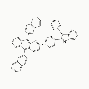 C/C=C\c1cc(-c2c3ccccc3c(-c3ccc4ccccc4c3)c3ccc(-c4ccc(-c5nc6ccccc6n5-c5ccccc5)cc4)cc23)ccc1C